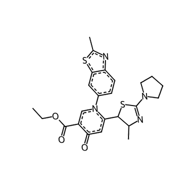 CCOC(=O)c1cn(-c2ccc3nc(C)sc3c2)c(C2SC(N3CCCC3)=NC2C)cc1=O